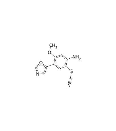 COc1cc(N)c(SC#N)cc1-c1cnco1